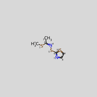 CSC(C)=NSc1nccs1